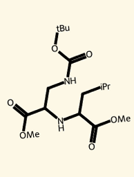 COC(=O)C(CNC(=O)OC(C)(C)C)NC(CC(C)C)C(=O)OC